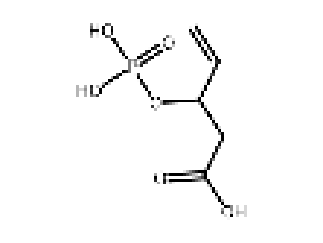 C=CC(CC(=O)O)OP(=O)(O)O